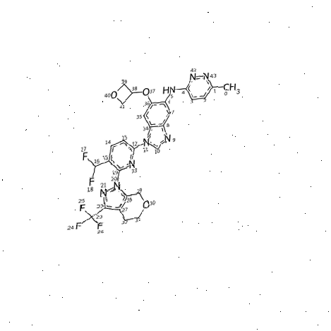 Cc1ccc(Nc2cc3ncn(-c4ccc(C(F)F)c(-n5nc(C(F)(F)F)c6c5COCC6)n4)c3cc2OC2COC2)nn1